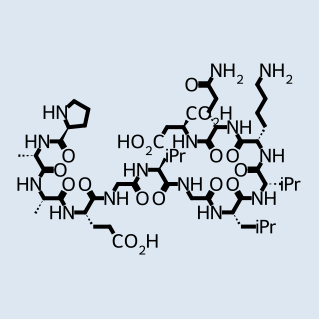 CC(C)C[C@H](NC(=O)CNC(=O)[C@@H](NC(=O)CNC(=O)[C@H](CCC(=O)O)NC(=O)[C@H](C)NC(=O)[C@H](C)NC(=O)[C@@H]1CCCN1)C(C)C)C(=O)N[C@H](C(=O)N[C@@H](CCCCN)C(=O)N[C@@H](CCC(N)=O)C(=O)N[C@@H](CC(=O)O)C(=O)O)C(C)C